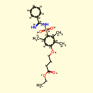 CCOC(=O)CCCOc1cc(C)c(S(=O)(=O)NC(=N)c2ccccc2)c(C)c1C